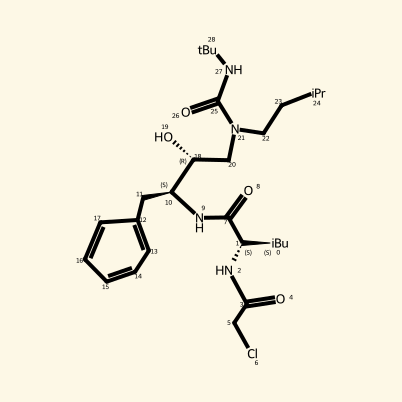 CC[C@H](C)[C@H](NC(=O)CCl)C(=O)N[C@@H](Cc1ccccc1)[C@H](O)CN(CCC(C)C)C(=O)NC(C)(C)C